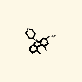 Cc1cccc2c1c1c(F)cc(C(=O)O)cc1n2C1CCOCC1